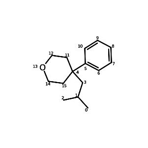 CC(C)CC1(c2ccccc2)CCOCC1